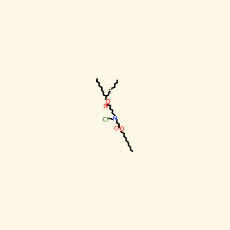 CCCCCCCCCCOC(=O)CCCN(CCCl)CCCCCC(=O)OCC(CCCCCCCC)CCCCCCCC